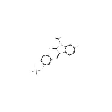 CC(=O)N1C(=O)C(=Cc2cccc(OC(F)(F)F)c2)c2ccc(Cl)cc21